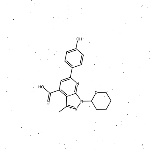 Cc1nn(C2CCCCO2)c2nc(-c3ccc(O)cc3)cc(C(=O)O)c12